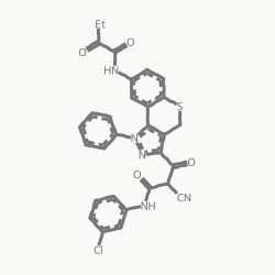 CCC(=O)C(=O)Nc1ccc2c(c1)-c1c(c(C(=O)C(C#N)C(=O)Nc3cccc(Cl)c3)nn1-c1ccccc1)CS2